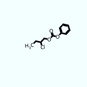 CCC(Cl)COC(=O)Oc1ccccc1